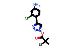 CCC(C)(C)C(=O)On1cc(-c2ccc(N)cc2Cl)nn1